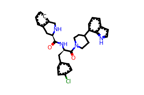 O=C(N[C@H](Cc1ccc(Cl)cc1)C(=O)N1CCC(c2cccc3cc[nH]c23)CC1)[C@H]1Cc2ccccc2CN1